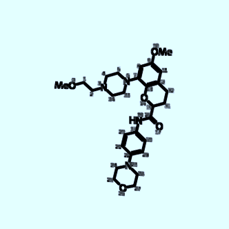 COCCN1CCN(c2cc(OC)cc3c2OC(C(=O)Nc2ccc(N4CCOCC4)cc2)CC3)CC1